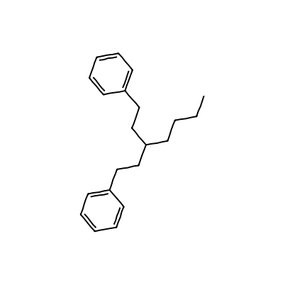 CCCCC(CCc1ccccc1)CCc1ccccc1